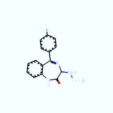 O=C(O)NC1N=C(c2ccc(F)cc2)c2ccccc2NC1=O